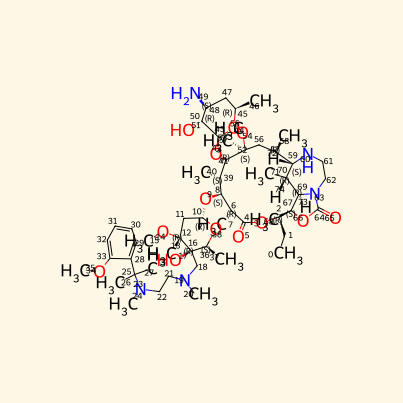 CC[C@H]1OC(=O)[C@H](C)[C@@H](O[C@H]2C[C@@](C)(OC)[C@@](O)(CN(C)CCN(C)C(C)(C)c3ccccc3OC)[C@H](C)O2)[C@H](C)[C@@H](O[C@@H]2O[C@H](C)C[C@H](N)[C@H]2O)[C@@](C)(OC)C[C@@H](C)[C@@H]2NCCN3C(=O)O[C@@]1(C)[C@H]3[C@@H]2C